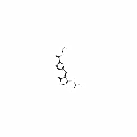 CCOC(=O)c1ccc(/C=C2\C(=O)NN=C2OC(C)C)[nH]1